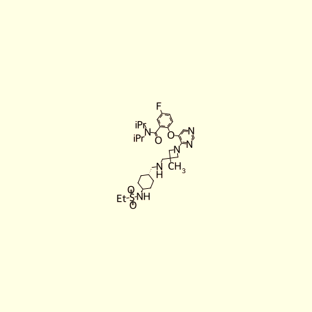 CCS(=O)(=O)N[C@H]1CC[C@H](CNCC2(C)CN(c3ncncc3Oc3ccc(F)cc3C(=O)N(C(C)C)C(C)C)C2)CC1